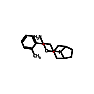 Cc1ccccc1COC1CC2CCC(C1)N2CCCN